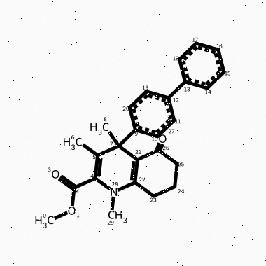 COC(=O)C1=C(C)C(C)(c2ccc(-c3ccccc3)cc2)C2=C(CCCC2=O)N1C